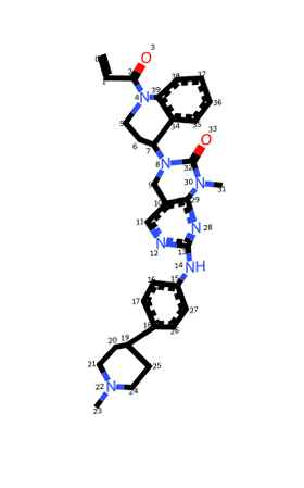 C=CC(=O)N1CCC(N2Cc3cnc(Nc4ccc(C5CCN(C)CC5)cc4)nc3N(C)C2=O)c2ccccc21